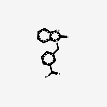 O=C(O)c1cccc(Cn2c(=O)[nH]c3ccccc32)c1